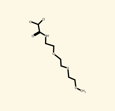 COCCOCCOCCNC(=O)C(Cl)Cl